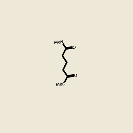 CNC(=O)CCCC(=O)OC